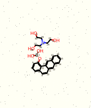 OB(O)Oc1cccc2ccc3cc4ccccc4cc3c12.OCCN(CCO)CCO